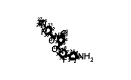 Nc1ccc(C2(F)CCN(C(=O)c3ccc(Cl)c(NC(=O)c4ccc(N5CCC5)nc4)c3)CC2)cc1